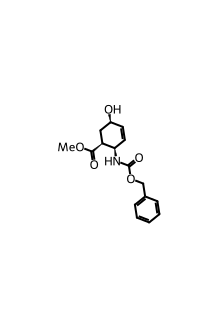 COC(=O)[C@H]1C[C@@H](O)C=C[C@H]1NC(=O)OCc1ccccc1